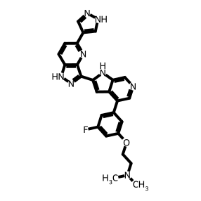 CN(C)CCOc1cc(F)cc(-c2cncc3[nH]c(-c4n[nH]c5ccc(-c6cn[nH]c6)nc45)cc23)c1